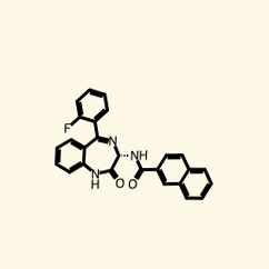 O=C(N[C@H]1N=C(c2ccccc2F)c2ccccc2NC1=O)c1ccc2ccccc2c1